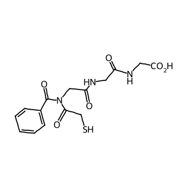 O=C(O)CNC(=O)CNC(=O)CN(C(=O)CS)C(=O)c1ccccc1